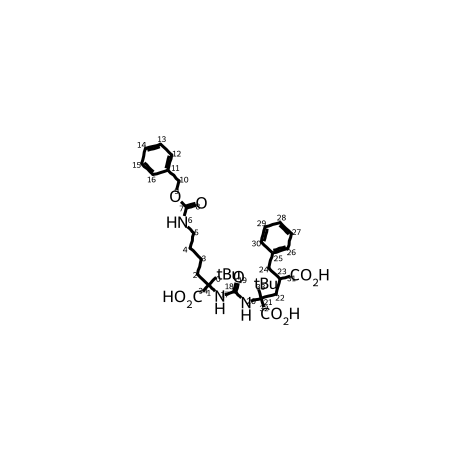 CC(C)(C)C(CCCCNC(=O)OCc1ccccc1)(NC(=O)NC(CC(Cc1ccccc1)C(=O)O)(C(=O)O)C(C)(C)C)C(=O)O